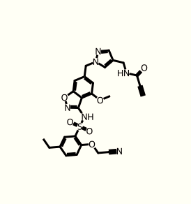 C#CC(=O)NCc1cnn(Cc2cc(OC)c3c(NS(=O)(=O)c4cc(CC)ccc4OCC#N)noc3c2)c1